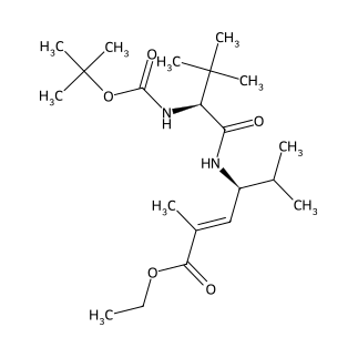 CCOC(=O)/C(C)=C/[C@@H](NC(=O)[C@@H](NC(=O)OC(C)(C)C)C(C)(C)C)C(C)C